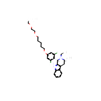 C[C@@H]1Cc2c([nH]c3ccccc23)[C@@H](c2c(F)cc(OCCCCCOCCOCC(=O)O)cc2F)N1CC(F)(F)F